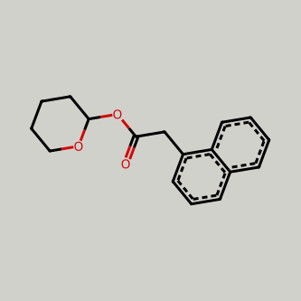 O=C(Cc1cccc2ccccc12)OC1CCCCO1